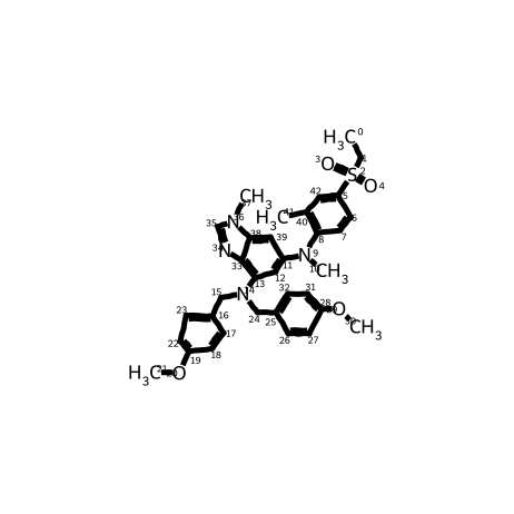 CCS(=O)(=O)c1ccc(N(C)c2cc(N(Cc3ccc(OC)cc3)Cc3ccc(OC)cc3)c3ncn(C)c3c2)c(C)c1